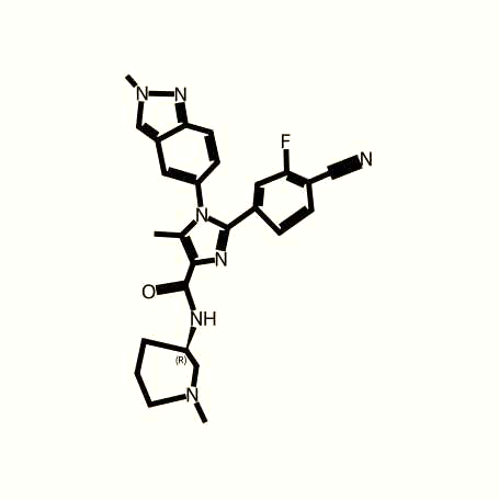 Cc1c(C(=O)N[C@@H]2CCCN(C)C2)nc(-c2ccc(C#N)c(F)c2)n1-c1ccc2nn(C)cc2c1